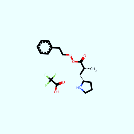 C[C@H](C[C@@H]1CCCN1)C(=O)OOCCc1ccccc1.O=C(O)C(F)(F)F